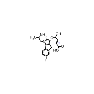 CC(N)Cn1ccc2c1-c1ccc(F)cc1C2.O=C(O)/C=C/C(=O)O